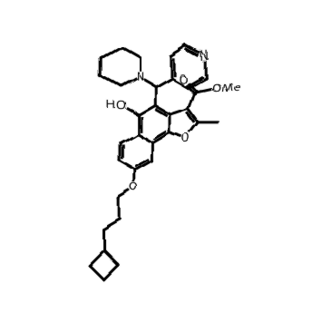 COC(=O)c1c(C)oc2c1c(C(c1ccncc1)N1CCCCC1)c(O)c1ccc(OCCCC3CCC3)cc12